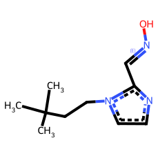 CC(C)(C)CCn1ccnc1/C=N/O